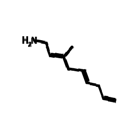 C=CC/C=C/C/C(C)=C/CN